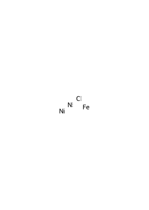 [C].[Fe].[N].[Ni]